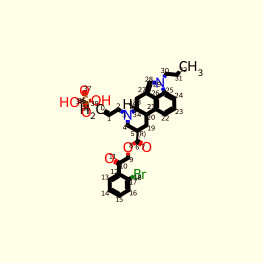 C=CCN1C[C@H](C(=O)OCC(=O)c2ccccc2Br)CC2c3cccc4c3c(cn4CCC)C[C@H]21.O=S(=O)(O)O